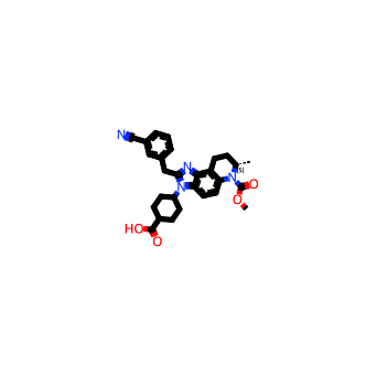 COC(=O)N1c2ccc3c(nc(Cc4cccc(C#N)c4)n3C3CCC(C(=O)O)CC3)c2CC[C@@H]1C